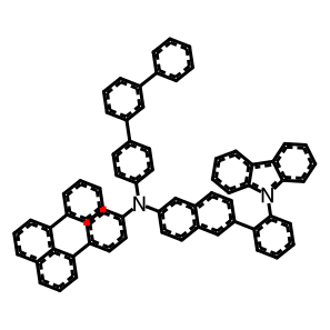 c1ccc(-c2cccc(-c3ccc(N(c4ccc(-c5cccc6cccc(-c7ccccc7)c56)cc4)c4ccc5cc(-c6ccccc6-n6c7ccccc7c7ccccc76)ccc5c4)cc3)c2)cc1